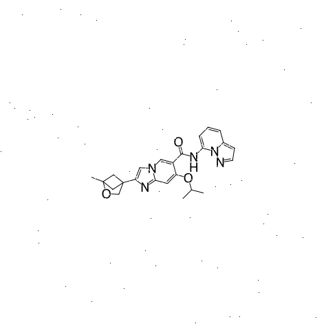 CC(C)Oc1cc2nc(C34COC(C)(C3)C4)cn2cc1C(=O)Nc1cccc2ccnn12